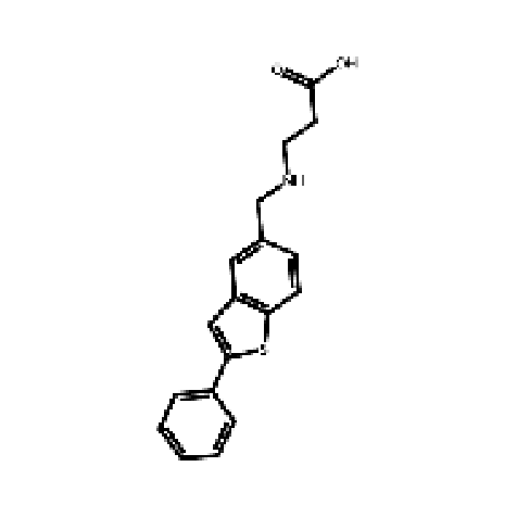 O=C(O)CCNCc1ccc2sc(-c3ccccc3)cc2c1